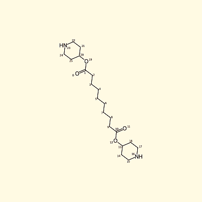 O=C(CCCCCCCCC(=O)OC1CCNCC1)OC1CCNCC1